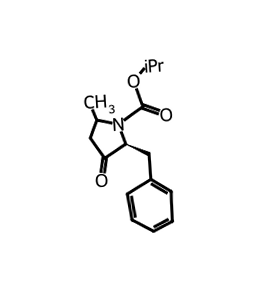 CC(C)OC(=O)N1C(C)CC(=O)[C@@H]1Cc1ccccc1